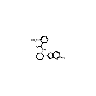 O=C(O)c1ccccc1C(=O)N[C@H]1CCCC[C@H]1c1cc2nc(Cl)ccc2o1